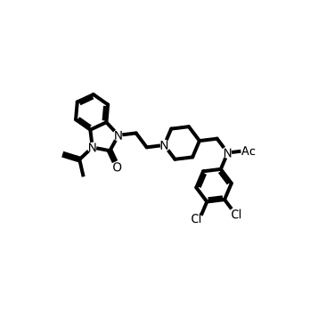 C=C(C)n1c(=O)n(CCN2CCC(CN(C(C)=O)c3ccc(Cl)c(Cl)c3)CC2)c2ccccc21